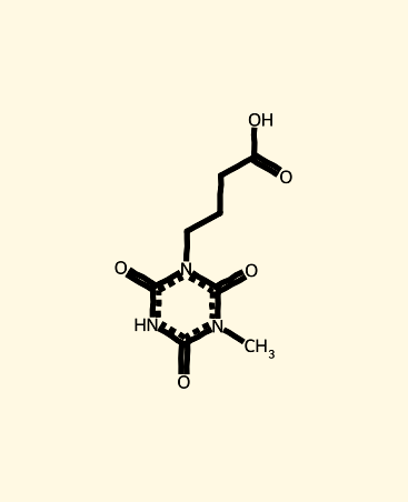 Cn1c(=O)[nH]c(=O)n(CCCC(=O)O)c1=O